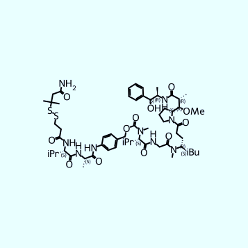 CC[C@H](C)[C@@H](CCC(=O)N1CCC[C@H]1[C@H](OC)[C@@H](C)C(=O)N[C@H](C)[C@@H](O)c1ccccc1)N(C)C(=O)CNC(=O)[C@H](C(C)C)N(C)C(=O)OCc1ccc(NC(=O)[C@H](C)NC(=O)[C@@H](NC(=O)CCSSC(C)(C)CC(N)=O)C(C)C)cc1